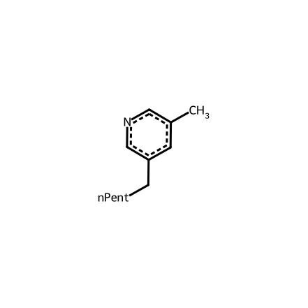 CCCCCCc1cncc(C)c1